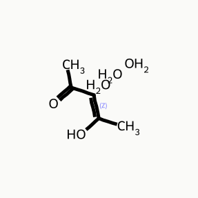 CC(=O)/C=C(/C)O.O.O.O